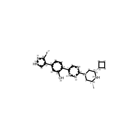 C[C@@H]1CN(c2ncc(-c3ccc(-c4c[nH]nc4F)cc3O)nn2)C[C@H](C2CCC2)N1